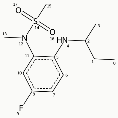 CCC(C)Nc1ccc(F)cc1N(C)S(C)(=O)=O